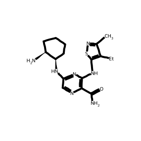 CCc1c(C)nsc1Nc1nc(N[C@@H]2CCCC[C@@H]2N)cnc1C(N)=O